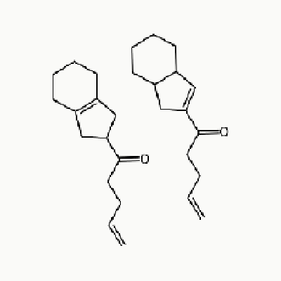 C=CCCC(=O)C1=CC2CCCCC2C1.C=CCCC(=O)C1CC2=C(CCCC2)C1